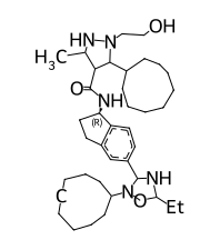 CCC1NC(c2ccc3c(c2)CC[C@H]3NC(=O)C2C(C)NN(CCO)C2C2CCCCCCCC2)N(C2CCCCCCCC2)O1